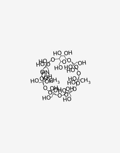 CC(=O)CNCC1OC2OC3C(CO)OC(OC4C(CO)OC(OC5C(C)OC(OC6C(CO)OC(OC7C(CO)OC(OC8C(CO)OC(OC1C(O)C2O)C(O)C8O)C(O)C7O)C(O)C6O)C(O)C5O)C(O)C4O)C(O)C3O